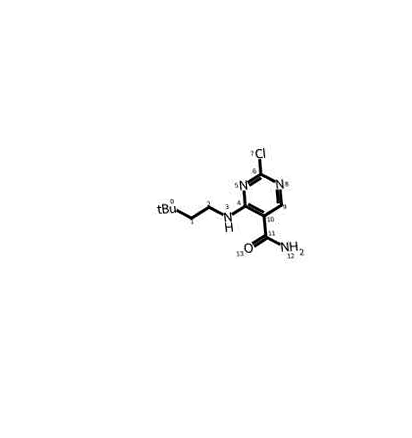 CC(C)(C)CCNc1nc(Cl)ncc1C(N)=O